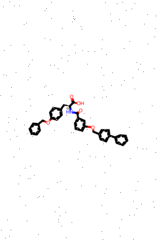 O=C(N[C@@H](Cc1ccc(OCc2ccccc2)cc1)C(=O)O)c1cccc(OCc2ccc(-c3ccccc3)cc2)c1